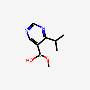 COB(O)c1cncnc1C(C)C